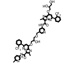 Cc1ccc(NC(=O)c2c(C)nc3c(OC[C@H](O)COCc4cncc(NC(=O)c5c(C)nc6c(OC[C@H](O)CO)cc(-c7ccccc7C(F)(F)F)nn56)c4)cc(-c4ccccc4C(F)(F)F)nn23)cn1